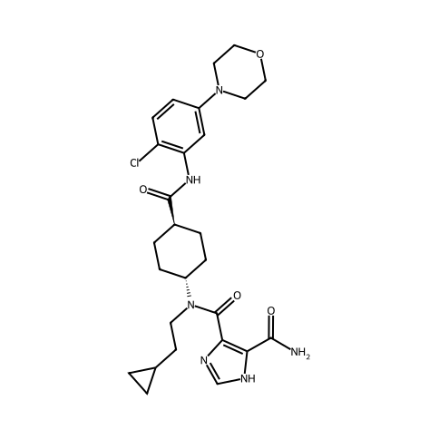 NC(=O)c1[nH]cnc1C(=O)N(CCC1CC1)[C@H]1CC[C@H](C(=O)Nc2cc(N3CCOCC3)ccc2Cl)CC1